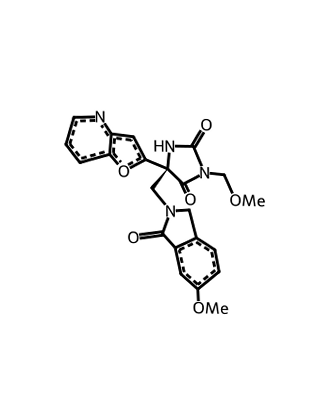 COCN1C(=O)N[C@@](CN2Cc3ccc(OC)cc3C2=O)(c2cc3ncccc3o2)C1=O